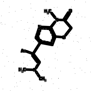 CC(=O)C(=CN(C)C)c1cnc2c(c1)OCC(=O)N2C